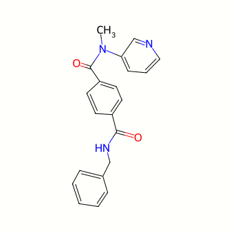 CN(C(=O)c1ccc(C(=O)NCc2ccccc2)cc1)c1cccnc1